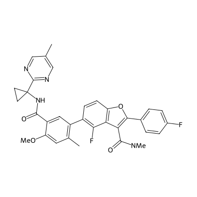 CNC(=O)c1c(-c2ccc(F)cc2)oc2ccc(-c3cc(C(=O)NC4(c5ncc(C)cn5)CC4)c(OC)cc3C)c(F)c12